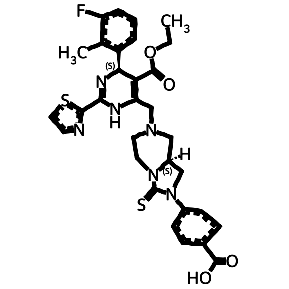 CCOC(=O)C1=C(CN2CCN3C(=S)N(c4ccc(C(=O)O)cc4)C[C@@H]3C2)NC(c2nccs2)=N[C@H]1c1cccc(F)c1C